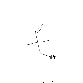 [CH2]C(C)CC(C)(C)C=C